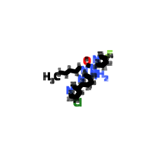 CCCCCCN(C(=O)Nc1ccc(F)cn1)c1nc(-c2cncc(Cl)c2)ccc1N